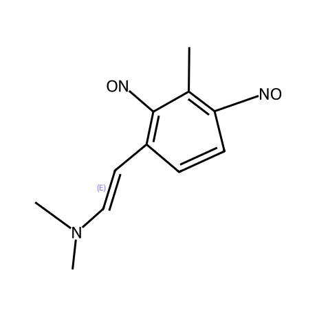 Cc1c(N=O)ccc(/C=C/N(C)C)c1N=O